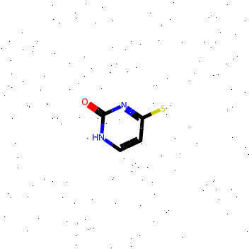 O=c1nc([S])cc[nH]1